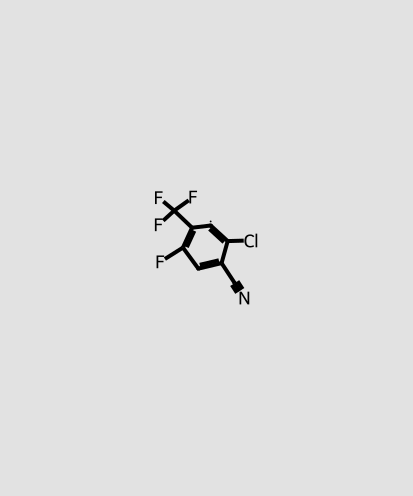 N#Cc1cc(F)c(C(F)(F)F)[c]c1Cl